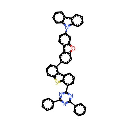 c1ccc(-c2nc(-c3ccccc3)nc(-c3cccc4c3sc3cccc(-c5ccc6oc7cc(-n8c9ccccc9c9ccccc98)ccc7c6c5)c34)n2)cc1